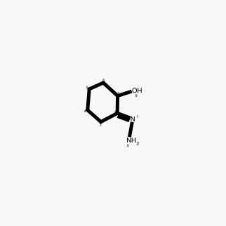 NN=C1CCCCC1O